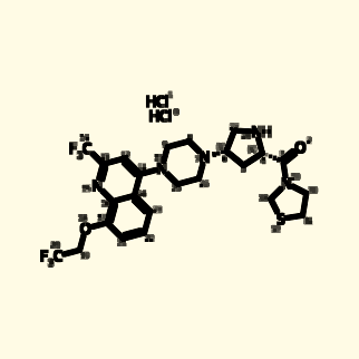 Cl.Cl.O=C([C@@H]1C[C@H](N2CCN(c3cc(C(F)(F)F)nc4c(OCC(F)(F)F)cccc34)CC2)CN1)N1CCSC1